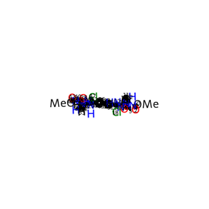 COC(=O)N[C@@H](C)C(=O)N1C[Si](C)(C)C[C@H]1c1nc(Cl)c(-c2ccc(-c3ccc(-c4[nH]c([C@@H]5C[C@H]6C[C@H]6N5C(=O)[C@H](C)NC(=O)OC)nc4Cl)cc3)cc2)[nH]1